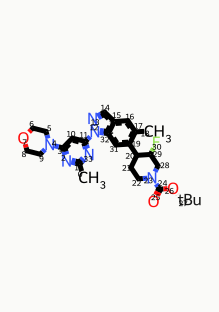 Cc1nc(N2CCOCC2)cc(-n2ncc3cc(C)c(C4CCN(C(=O)OC(C)(C)C)CC4F)cc32)n1